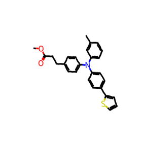 COC(=O)CCc1ccc(N(c2ccc(-c3cccs3)cc2)c2cccc(C)c2)cc1